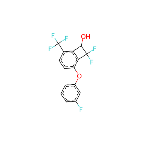 OC1c2c(C(F)(F)F)ccc(Oc3cccc(F)c3)c2C1(F)F